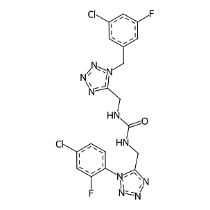 O=C(NCc1nnnn1Cc1cc(F)cc(Cl)c1)NCc1nnnn1-c1ccc(Cl)cc1F